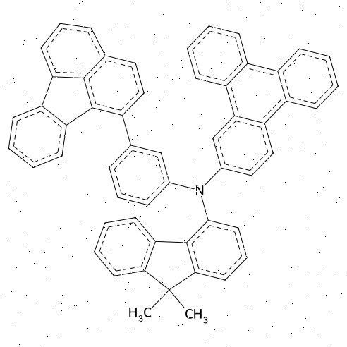 CC1(C)c2ccccc2-c2c(N(c3cccc(-c4ccc5cccc6c5c4-c4ccccc4-6)c3)c3ccc4c5ccccc5c5ccccc5c4c3)cccc21